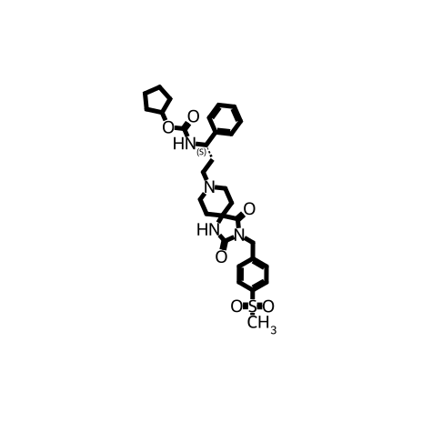 CS(=O)(=O)c1ccc(CN2C(=O)NC3(CCN(CC[C@H](NC(=O)OC4CCCC4)c4ccccc4)CC3)C2=O)cc1